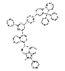 C=C(/C=C\c1c(C)n(-c2ccccc2)c2ccccc12)c1ccc(-c2cc(-c3ccc(-c4ccc5c(c4)C(c4ccccc4)(c4ccccc4)c4ccccc4-5)cc3)nc(-c3ccccc3)n2)c2ccccc12